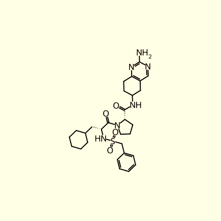 Nc1ncc2c(n1)CCC(NC(=O)[C@@H]1CCCN1C(=O)[C@@H](CC1CCCCC1)NS(=O)(=O)Cc1ccccc1)C2